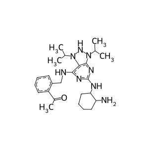 CC(=O)c1ccccc1CNc1nc(NC2CCCCC2N)nc2c1N(C(C)C)NN2C(C)C